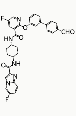 O=Cc1ccc(-c2cccc(Oc3ncc(F)cc3C(=O)N[C@H]3CC[C@H](NC(=O)c4cn5cc(F)ccc5n4)CC3)c2)cc1